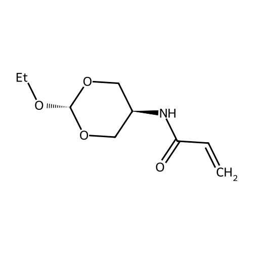 C=CC(=O)N[C@H]1CO[C@H](OCC)OC1